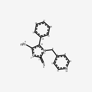 CCCc1sc(=S)n(Cc2ccncc2)c1-c1ccccc1